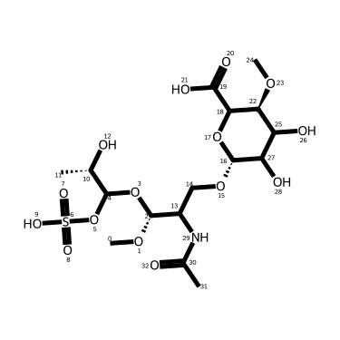 CO[C@H](OC(OS(=O)(=O)O)[C@H](C)O)C(CO[C@@H]1OC(C(=O)O)[C@@H](OC)C(O)C1O)NC(C)=O